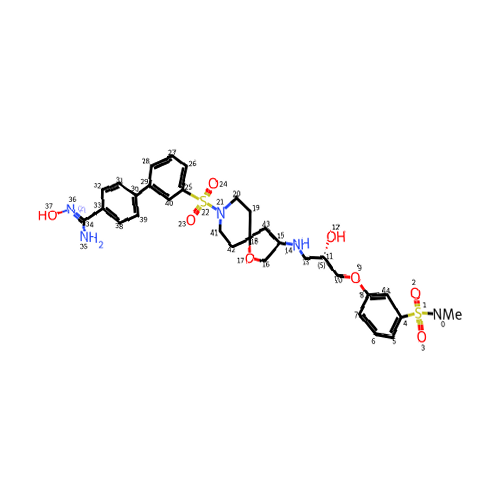 CNS(=O)(=O)c1cccc(OC[C@@H](O)CNC2COC3(CCN(S(=O)(=O)c4cccc(-c5ccc(/C(N)=N/O)cc5)c4)CC3)C2)c1